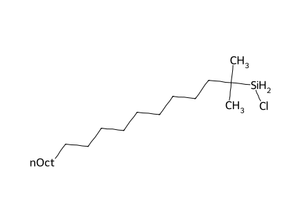 CCCCCCCCCCCCCCCCCC(C)(C)[SiH2]Cl